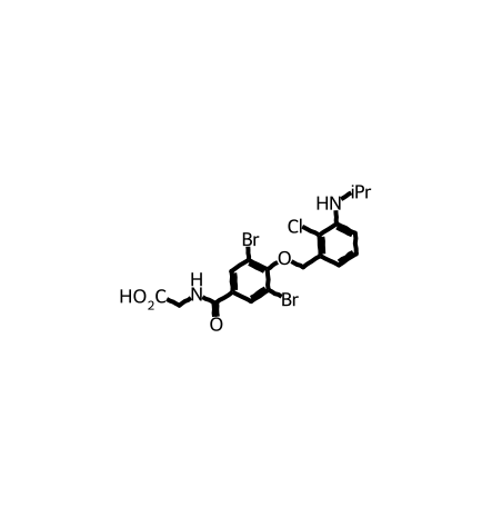 CC(C)Nc1cccc(COc2c(Br)cc(C(=O)NCC(=O)O)cc2Br)c1Cl